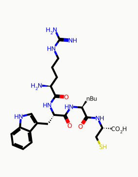 CCCC[C@H](NC(=O)[C@H](Cc1c[nH]c2ccccc12)NC(=O)[C@@H](N)CCCNC(=N)N)C(=O)N[C@@H](CS)C(=O)O